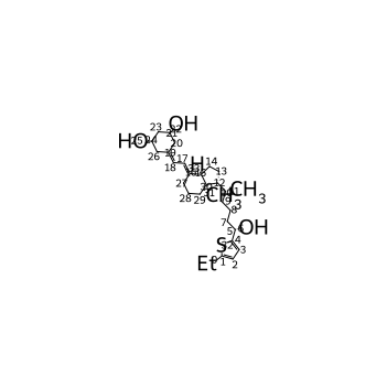 CCc1ccc([C@@H](O)CCC[C@@H](C)[C@H]2CC[C@H]3/C(=C/C=C4C[C@@H](O)C[C@H](O)C4)CCC[C@]23C)s1